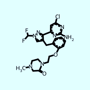 CN1CCN(CCOc2ccccc2Cc2cn(C(F)F)nc2-c2cc(Cl)nc(N)n2)C(=O)C1